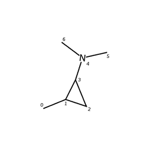 CC1CC1N(C)C